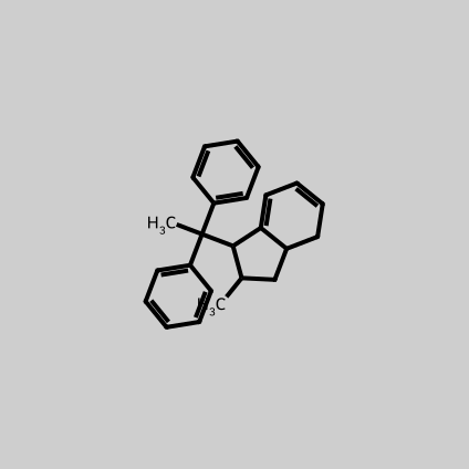 CC1CC2CC=CC=C2C1C(C)(c1ccccc1)c1ccccc1